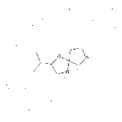 CC(C)C1COC2(CCOC2)O1